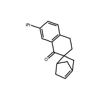 CC(C)c1ccc2c(c1)C(=O)C1(CC2)CC2=CCC1C2